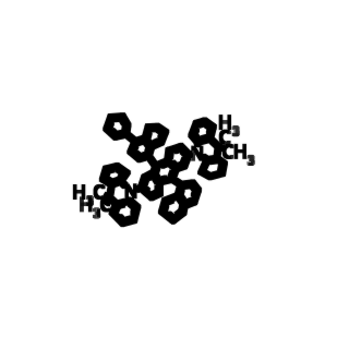 CC1(C)C2=C(CCC=C2)N(c2ccc3c(-c4ccc(-c5ccccc5)c5ccccc45)c4cc(N5c6ccccc6C(C)(C)c6ccccc65)ccc4c(-c4cccc5ccccc45)c3c2)c2ccccc21